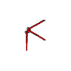 CC#CC#CC#CC#CC#CC#CC#CC#CC#CC#CC#CC(=O)OCC(COC(=O)C#CC#CC#CC#CC#CC#CC#CC#CC#CC#CC#CC)OC(=O)C#CC#CC#CC#CC#CC#CC#CC#CC#CC#CC#CC